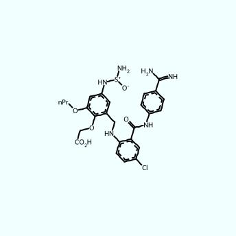 CCCOc1cc(N[S+](N)[O-])cc(CNc2ccc(Cl)cc2C(=O)Nc2ccc(C(=N)N)cc2)c1OCC(=O)O